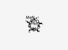 CN[Si]1(C)O[SiH](C)O[SiH](C)O[SiH](C)O[SiH](C)O1